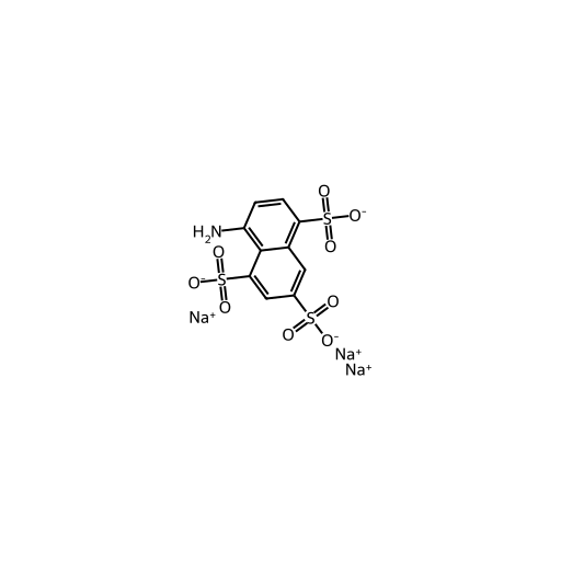 Nc1ccc(S(=O)(=O)[O-])c2cc(S(=O)(=O)[O-])cc(S(=O)(=O)[O-])c12.[Na+].[Na+].[Na+]